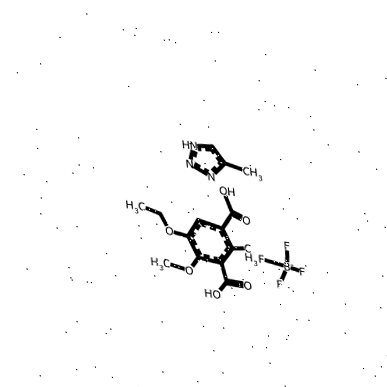 CCOc1cc(C(=O)O)c(C)c(C(=O)O)c1OC.Cc1c[nH]nn1.F[B-](F)(F)F